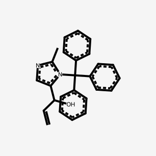 C=CC(O)c1cnc(C)n1C(c1ccccc1)(c1ccccc1)c1ccccc1